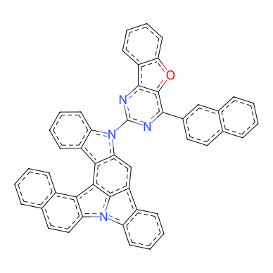 c1ccc2cc(-c3nc(-n4c5ccccc5c5c6c7c8ccccc8ccc7n7c8ccccc8c(cc54)c67)nc4c3oc3ccccc34)ccc2c1